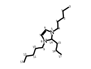 CCCCCN1C=CN(CCCCC)C1CCC